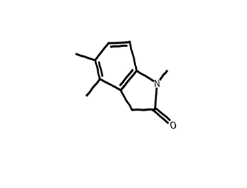 Cc1ccc2c(c1C)CC(=O)N2C